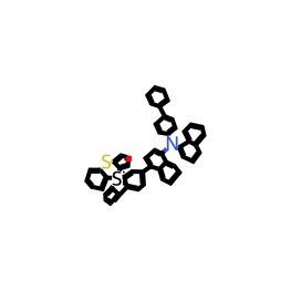 c1ccc(-c2ccc(N(c3cccc4ccccc34)c3ccc(-c4ccc5c(c4)[Si]4(c6ccccc6Sc6ccccc64)c4ccccc4-5)c4ccccc34)cc2)cc1